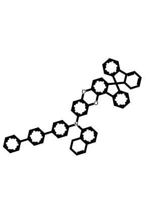 C1=CCC2C(=C1)c1ccccc1C21c2ccccc2-c2c1ccc1c2Oc2cc(N(c3ccc(-c4ccc(-c5ccccc5)cc4)cc3)c3cccc4c3CCC=C4)ccc2O1